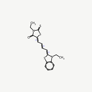 CCN1C(=O)/C(=C/C=C/C=C2\Sc3ccccc3N2CC)SC1=S